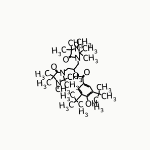 CN1C(C)(C)C(=O)N(CC(CN2C(=O)C(C)(C)N(C)C2(C)C)OC(=O)c2cc(C(C)(C)C)c(O)c(C(C)(C)C)c2)C1(C)C